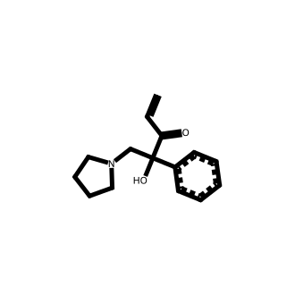 C=CC(=O)C(O)(CN1CCCC1)c1ccccc1